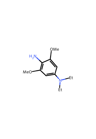 CCN(CC)c1cc(OC)c(N)c(OC)c1